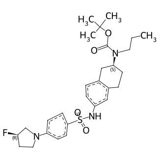 CCCN(C(=O)OC(C)(C)C)[C@H]1CCc2cc(NS(=O)(=O)c3ccc(N4CC[C@@H](F)C4)cc3)ccc2C1